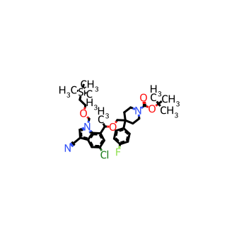 CC(OCC1(c2ccc(F)cc2)CCN(C(=O)OC(C)(C)C)CC1)c1cc(Cl)cc2c(C#N)cn(COCC[Si](C)(C)C)c12